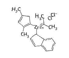 CC1=CC(C)=[C]([Zr+2](=[C](C)C)[CH]2C=Cc3ccccc32)C1.[Cl-].[Cl-]